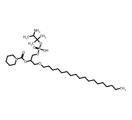 CCCCCCCCCCCCCCCCCCOCC(COP(=O)(O)OC(C)(C)C(C)N)OC(=O)N1CCCCC1